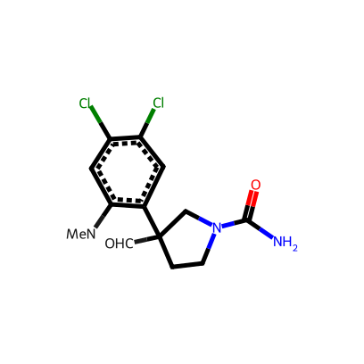 CNc1cc(Cl)c(Cl)cc1C1(C=O)CCN(C(N)=O)C1